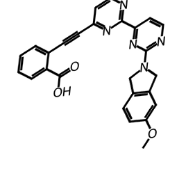 COc1ccc2c(c1)CN(c1nccc(-c3nccc(C#Cc4ccccc4C(=O)O)n3)n1)C2